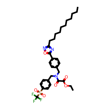 CCCCCCCCCCCc1noc(-c2ccc(CN(Cc3ccc(S(=O)(=O)C(F)(F)F)cc3)C(=O)C(=O)OCC)cc2)n1